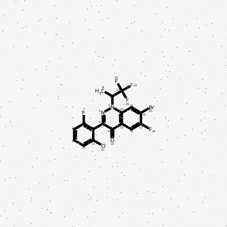 CC(n1nc(-c2c(F)cccc2Cl)c(=O)c2cc(F)c(Br)cc21)C(F)(F)F